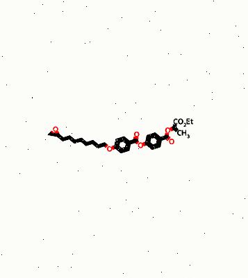 CCOC(=O)C(C)OC(=O)c1ccc(OC(=O)c2ccc(OCCCCCCCCC3CO3)cc2)cc1